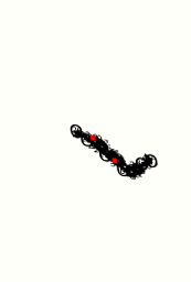 c1cc2ccc(Oc3ccc4ccc(Oc5ccc6ccc(OCC7CO7)cc6c5)cc4c3)cc2cc1OCC1CO1